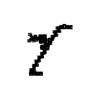 CCCCCCCCCC=CC=CC=CC=CC=CC(=O)O[C@H](COCCCCCCCCCCCCCCCC)COP(=O)([O-])OCC[N+](C)(C)C